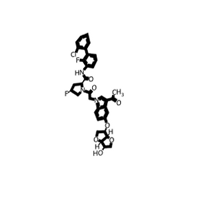 CC(=O)c1cn(CC(=O)N2C[C@H](F)C[C@H]2C(=O)Nc2cccc(-c3ccccc3Cl)c2F)c2ccc(O[C@@H]3CO[C@H]4[C@@H]3OC[C@H]4O)cc12